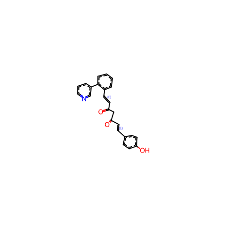 O=C(/C=C/c1ccc(O)cc1)CC(=O)/C=C/c1ccccc1-c1cccnc1